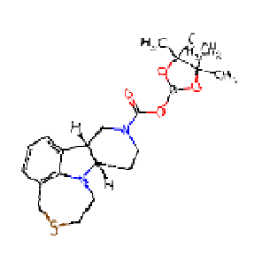 CC1(C)OB(OC(=O)N2CC[C@H]3[C@@H](C2)c2cccc4c2N3CCSC4)OC1(C)C